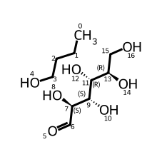 CCCCO.O=C[C@@H](O)[C@@H](O)[C@H](O)[C@H](O)CO